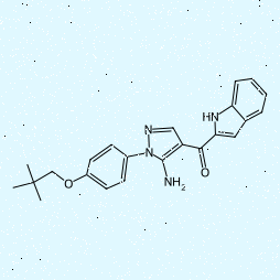 CC(C)(C)COc1ccc(-n2ncc(C(=O)c3cc4ccccc4[nH]3)c2N)cc1